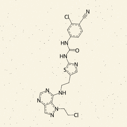 N#Cc1ccc(NC(=O)Nc2ncc(CCNc3ncnc4cnn(CCCl)c34)s2)cc1Cl